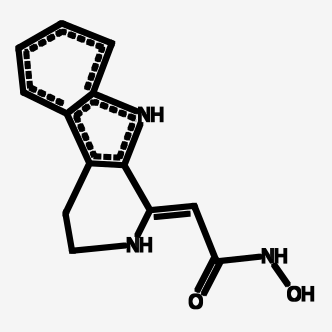 O=C(C=C1NCCc2c1[nH]c1ccccc21)NO